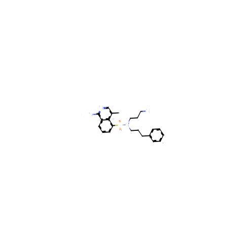 Cc1cnc(N)c2cccc(S(=O)(=O)N(CCCN)CCCc3ccccc3)c12